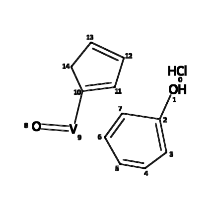 Cl.Oc1ccccc1.[O]=[V][C]1=CC=CC1